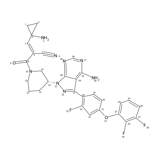 N#C/C(=C\C1(N)CC1)C(=O)N1CCC[C@@H](n2nc(-c3ccc(Oc4cccc(F)c4F)cc3F)c3c(N)ncnc32)C1